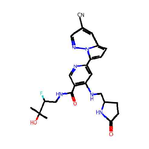 CC(C)(O)C(F)CNC(=O)c1cnc(-c2ccc3cc(C#N)cnn23)cc1NCC1CCC(=O)N1